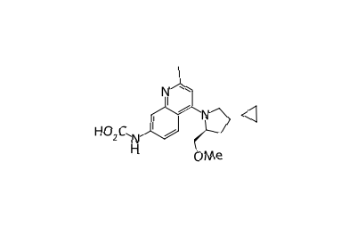 C1CC1.COC[C@@H]1CCCN1c1cc(C)nc2cc(NC(=O)O)ccc12